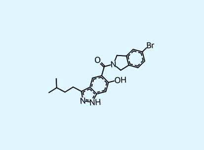 CC(C)CCc1n[nH]c2cc(O)c(C(=O)N3Cc4ccc(Br)cc4C3)cc12